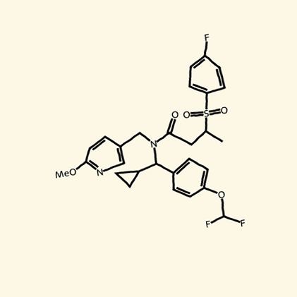 COc1ccc(CN(C(=O)CC(C)S(=O)(=O)c2ccc(F)cc2)C(c2ccc(OC(F)F)cc2)C2CC2)cn1